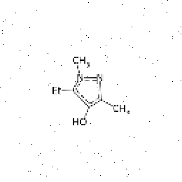 CCc1c(O)c(C)nn1C